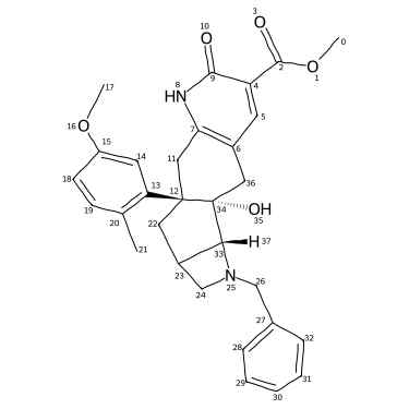 COC(=O)c1cc2c([nH]c1=O)C[C@@]1(c3cc(OC)ccc3C)CC3CN(Cc4ccccc4)[C@H]3[C@]1(O)C2